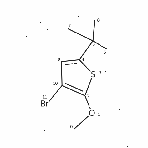 COc1sc(C(C)(C)C)cc1Br